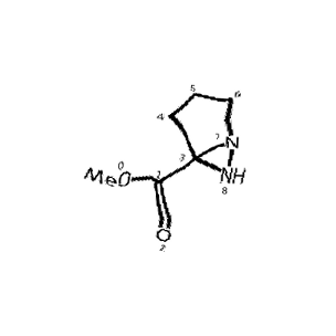 COC(=O)C12CCCN1N2